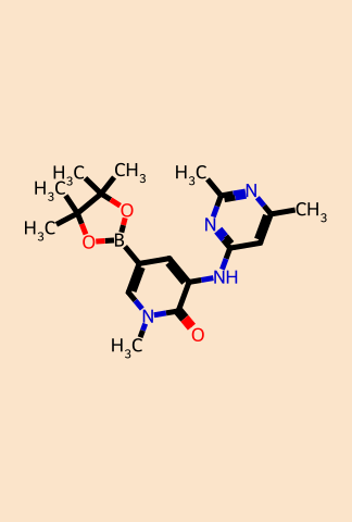 Cc1cc(Nc2cc(B3OC(C)(C)C(C)(C)O3)cn(C)c2=O)nc(C)n1